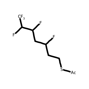 CC(=O)SCCC(F)CC(F)C(F)C(F)(F)F